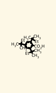 CCC(C)(C)c1cc(C(C)(C)CC)c(C(=O)O)c(C(C)(C)CC)c1